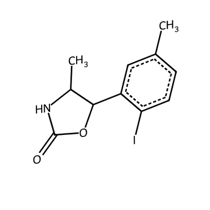 Cc1ccc(I)c(C2OC(=O)NC2C)c1